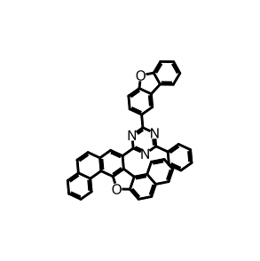 c1ccc(-c2nc(-c3ccc4oc5ccccc5c4c3)nc(-c3cc4ccc5ccccc5c4c4oc5ccc6ccccc6c5c34)n2)cc1